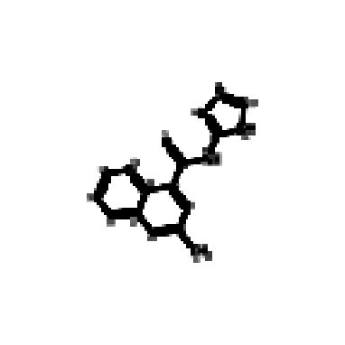 Cc1cc(C(=O)Nc2nnn[nH]2)c2ncccc2c1